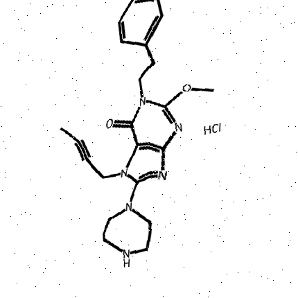 CC#CCn1c(N2CCNCC2)nc2nc(OC)n(CCc3ccccc3)c(=O)c21.Cl